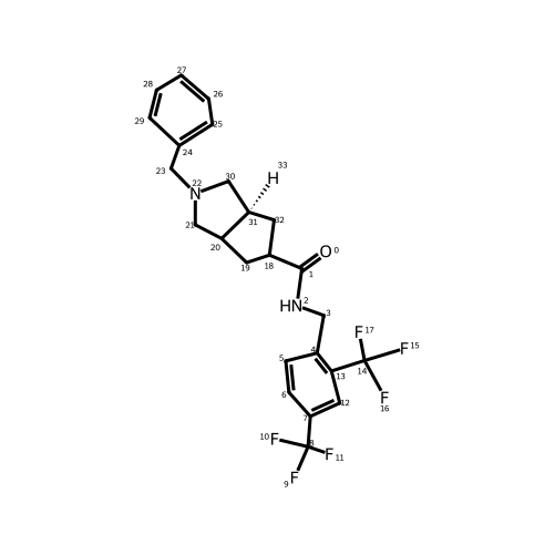 O=C(NCc1ccc(C(F)(F)F)cc1C(F)(F)F)C1CC2CN(Cc3ccccc3)C[C@H]2C1